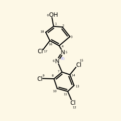 Oc1ccc(/N=N/c2c(Cl)cc(Cl)cc2Cl)c(Cl)c1